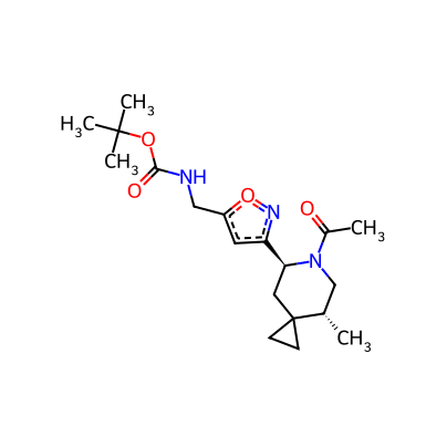 CC(=O)N1C[C@H](C)C2(CC2)C[C@H]1c1cc(CNC(=O)OC(C)(C)C)on1